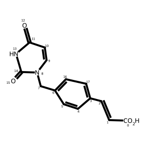 O=C(O)C=Cc1ccc(Cn2ccc(=O)[nH]c2=O)cc1